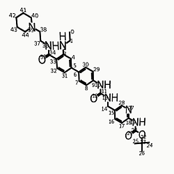 CCNc1cc(-c2ccc(NC(=O)NCc3ccc(NC(=O)OC(C)(C)C)nc3)cc2)ccc1C(=O)NCCN1CCCCC1